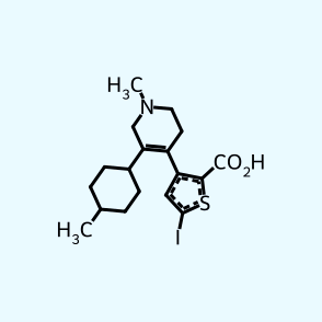 CC1CCC(C2=C(c3cc(I)sc3C(=O)O)CCN(C)C2)CC1